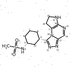 CS(=O)(=O)N[C@@H]1CCC[C@H](c2nnc3cnc4c(n23)CCN4)C1